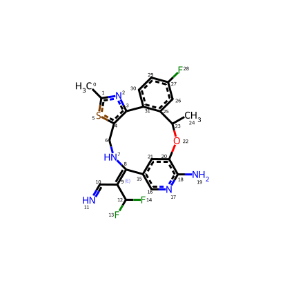 Cc1nc2c(s1)CN/C(=C(\C=N)C(F)F)c1cnc(N)c(c1)OC(C)c1cc(F)ccc1-2